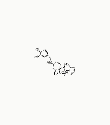 CCC1CC(NCc2ccc(Cl)c(Cl)c2)CCC1(C(=O)O)c1ncc2ccsc2n1